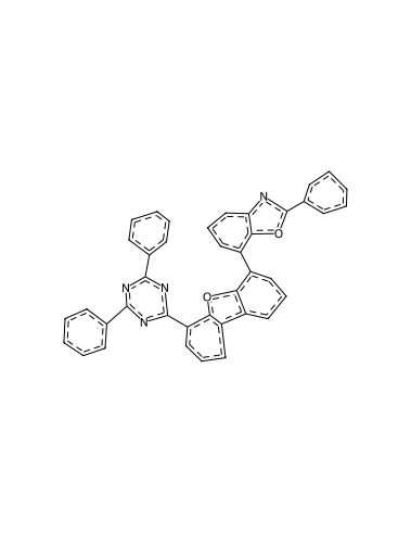 c1ccc(-c2nc(-c3ccccc3)nc(-c3cccc4c3oc3c(-c5cccc6nc(-c7ccccc7)oc56)cccc34)n2)cc1